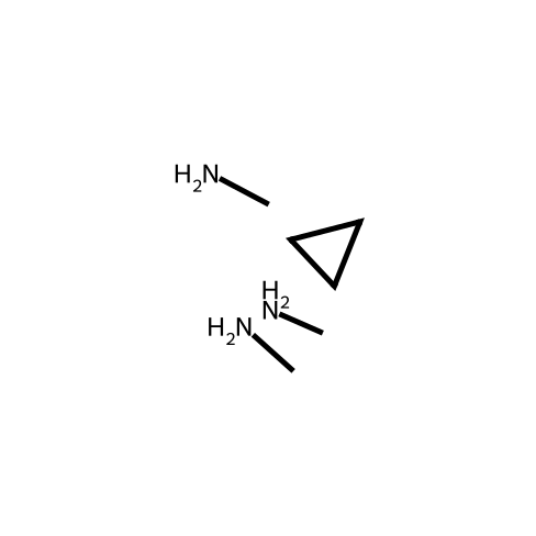 C1CC1.CN.CN.CN